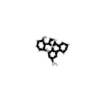 Cc1ccc2c(c1)c1ccccc1c1ncc(-c3c(C(C)C)cccc3C(C)C)n21